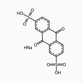 O=C1c2ccc(S(=O)(=O)O)cc2C(=O)c2cc(S(=O)(=O)O)ccc21.[NaH]